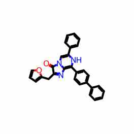 O=c1c(Cc2ccco2)nc2c(-c3ccc(-c4ccccc4)cc3)[nH]c(-c3ccccc3)cn1-2